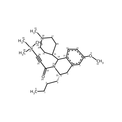 CCCC[C@H]1Cc2cc(OC)ccc2C(C2CCN(C)CC2)N1C(=O)C#C[Si](C)(C)C